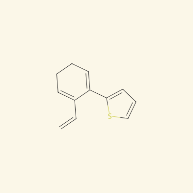 C=CC1=CCCC=C1c1cccs1